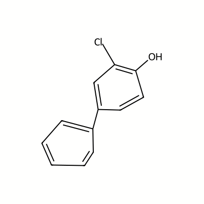 Oc1ccc(-c2ccccc2)cc1Cl